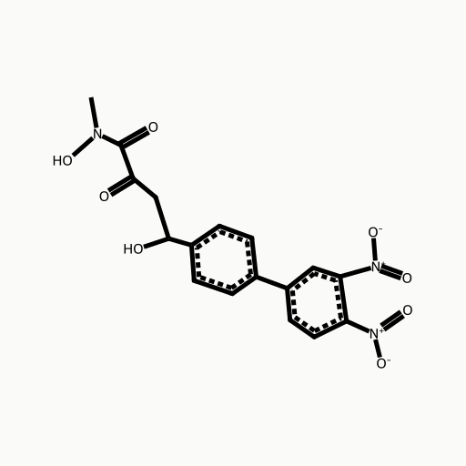 CN(O)C(=O)C(=O)CC(O)c1ccc(-c2ccc([N+](=O)[O-])c([N+](=O)[O-])c2)cc1